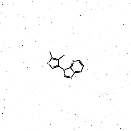 Cc1occ(-n2cnc3cccnc32)c1C